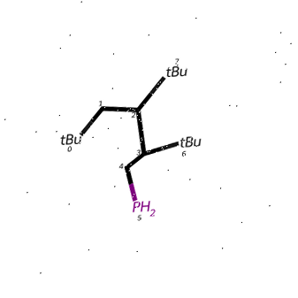 CC(C)(C)CC(C(CP)C(C)(C)C)C(C)(C)C